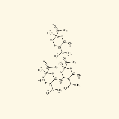 CC(C)C1CCC(C)(C(=O)[O-])CC1O.CC(C)C1CCC(C)(C(=O)[O-])CC1O.CC(C)C1CCC(C)(C(=O)[O-])CC1O.[B+3]